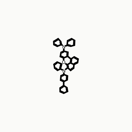 c1ccc(-c2ccc(N(c3ccccc3)c3ccc4cccc5c4c3Oc3ccc(N(c4ccccc4)c4ccccc4)cc3-5)cc2)cc1